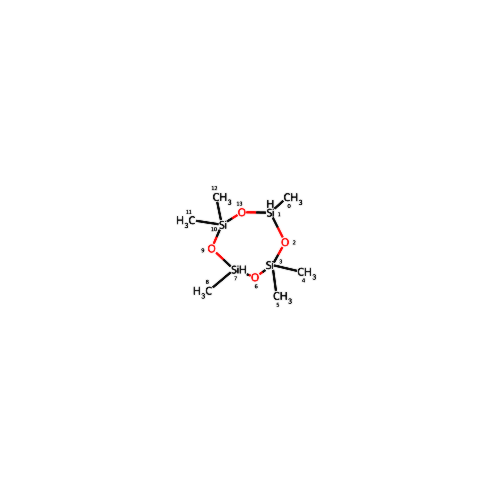 C[SiH]1O[Si](C)(C)O[SiH](C)O[Si](C)(C)O1